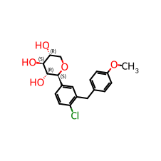 COc1ccc(Cc2cc([C@@H]3OC[C@@H](O)[C@H](O)[C@H]3O)ccc2Cl)cc1